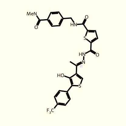 CNC(=O)c1ccc(CNC(=O)c2ccc(C(=O)N/N=C(\C)c3csc(-c4ccc(C(F)(F)F)cc4)c3O)s2)cc1